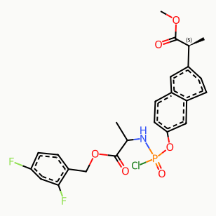 COC(=O)[C@@H](C)c1ccc2cc(OP(=O)(Cl)NC(C)C(=O)OCc3ccc(F)cc3F)ccc2c1